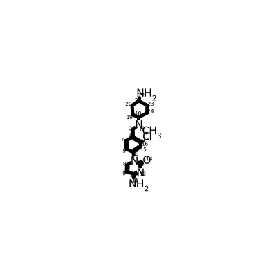 CN(Cc1ccc(-n2ccc(N)nc2=O)cc1Cl)C1CCC(N)CC1